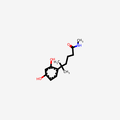 CNC(=O)CCCC(C)(C)c1ccc(O)cc1O